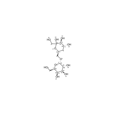 OC[C@H]1O[C@H](OC[C@@H]2C[C@@H](O)[C@H](O)C(O)(CO)O2)[C@H](O)[C@@H](O)[C@H]1O